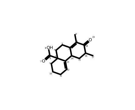 CC1=C2CCC3(C(=O)O)CCCC=C3C2CC(C)C1=O